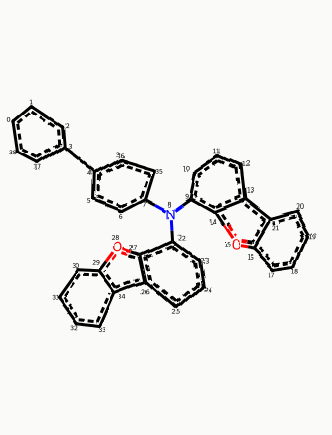 c1ccc(-c2ccc(N(c3cccc4c3oc3ccccc34)c3cccc4c3oc3ccccc34)cc2)cc1